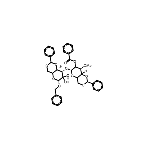 CO[C@@H]1C(OC(=O)c2ccccc2)[C@H](O[C@H]2[C@@H]3OC(c4ccccc4)OCC3O[C@@H](OCc3ccccc3)C2(O)O)OC2COC(c3ccccc3)O[C@H]21